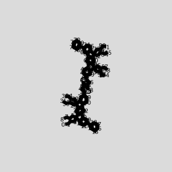 CCCCC1(CCCC)c2ccc(-c3ccccc3)cc2-c2cc3c(cc21)C(CCCC)(CCCC)c1cc(-c2cc4sc(-c5ccc6c(c5)C(CCCC)(CCCC)c5cc7c(cc5-6)-c5cc(-c6ccccc6)ccc5C7(CCCC)CCCC)cc4s2)ccc1-3